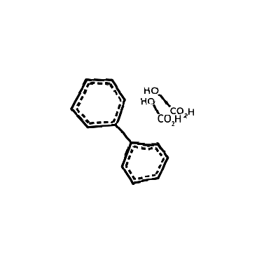 O=C(O)O.O=C(O)O.c1ccc(-c2ccccc2)cc1